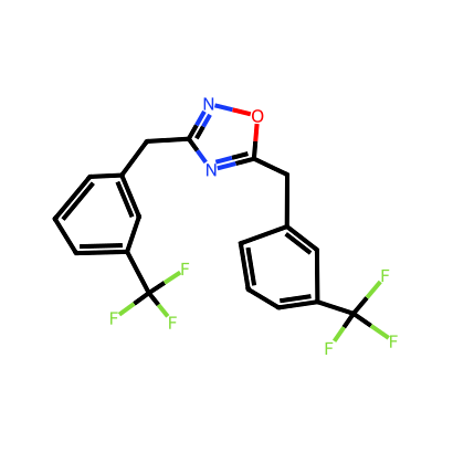 FC(F)(F)c1cccc(Cc2noc(Cc3cccc(C(F)(F)F)c3)n2)c1